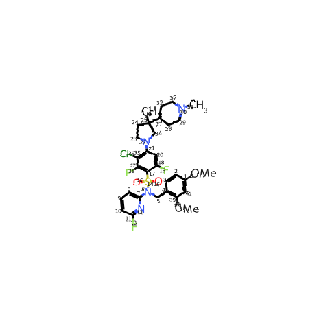 COc1ccc(CN(c2cccc(F)n2)S(=O)(=O)c2c(F)cc(N3CCC(C)(C4CCN(C)CC4)C3)c(Cl)c2F)c(OC)c1